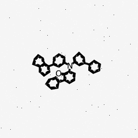 c1ccc(-c2cccc(N(c3cccc(-c4cccc5ccccc45)c3)c3cccc4c3oc3ccccc34)c2)cc1